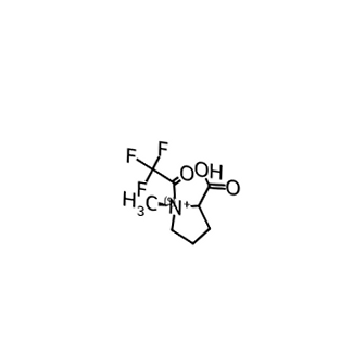 C[N@+]1(C(=O)C(F)(F)F)CCCC1C(=O)O